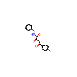 O=C(CC(=O)c1ccc(F)cc1)C(=O)NCc1ccccc1